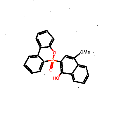 COc1cc(P2(=O)Oc3ccccc3-c3ccccc32)c(O)c2ccccc12